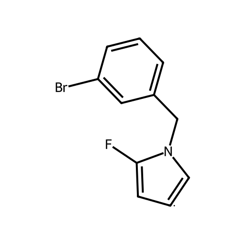 Fc1c[c]cn1Cc1cccc(Br)c1